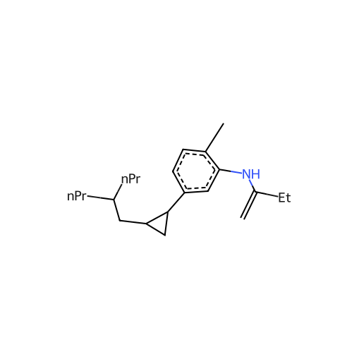 C=C(CC)Nc1cc(C2CC2CC(CCC)CCC)ccc1C